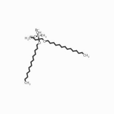 CCCCCCCCCCCCCCOCC(CCC)(OCCCCCCCCCCCCCC)[N+](C)(C)O.[Br-]